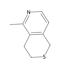 Cc1nccc2c1CCSC2